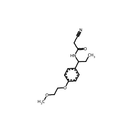 CCC(NC(=O)CC#N)c1ccc(OCCOC)cc1